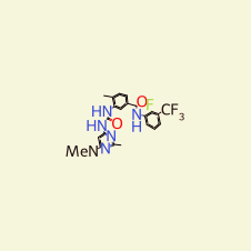 CNc1cc(NC(=O)Nc2cc(C(=O)Nc3cccc(C(F)(F)F)c3F)ccc2C)nc(C)n1